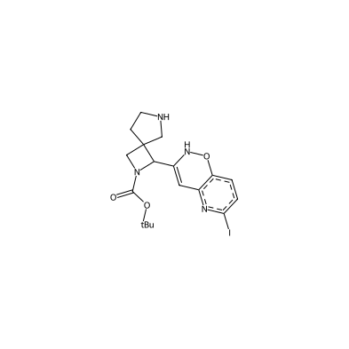 CC(C)(C)OC(=O)N1CC2(CCNC2)C1C1=Cc2nc(I)ccc2ON1